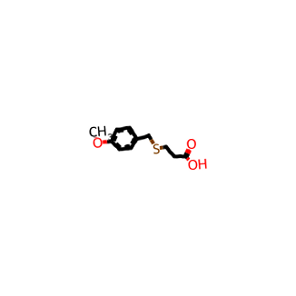 COc1ccc(CSCCC(=O)O)cc1